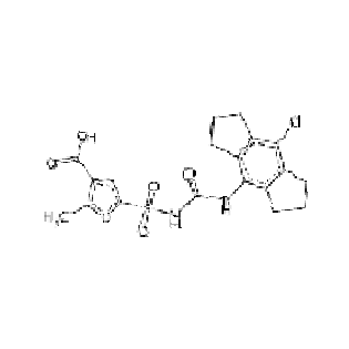 Cc1oc(S(=O)(=O)NC(=O)Nc2c3c(c(Cl)c4c2CCC4)CCC3)cc1C(=O)O